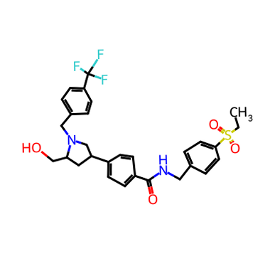 CCS(=O)(=O)c1ccc(CNC(=O)c2ccc(C3CC(CO)N(Cc4ccc(C(F)(F)F)cc4)C3)cc2)cc1